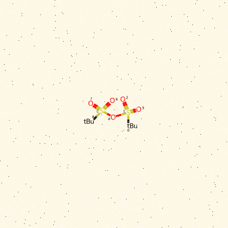 CC(C)(C)S(=O)(=O)OS(=O)(=O)C(C)(C)C